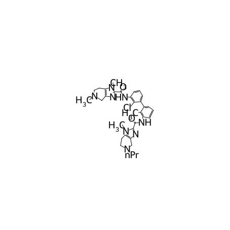 CCCN1CCc2c(nc(C(=O)Nc3cccc(-c4cccc(NC(=O)c5nc6c(n5C)CCN(C)C6)c4Cl)c3C)n2C)C1